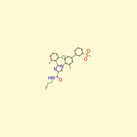 Cc1cc(-c2cccc(S(C)(=O)=O)c2)ccc1-n1cc(C(=O)NCCF)nc1-c1c(C)cccc1Cl